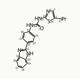 CC(C)c1cnc(NC(=O)Nc2ccc(-c3nc4ccccc4[nH]3)cc2)s1